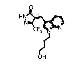 O=C1NN=C(C(F)(F)F)/C1=C\c1cn(CCCCO)c2ncccc12